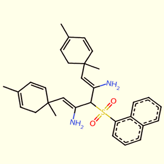 CC1=CCC(C)(C=C(N)C(C(N)=CC2(C)C=CC(C)=CC2)S(=O)(=O)c2cccc3ccccc23)C=C1